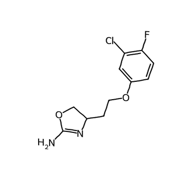 NC1=NC(CCOc2ccc(F)c(Cl)c2)CO1